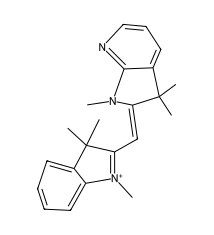 CN1C(=CC2=[N+](C)c3ccccc3C2(C)C)C(C)(C)c2cccnc21